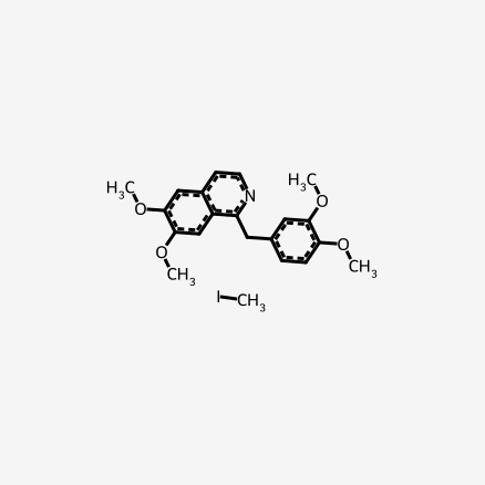 CI.COc1ccc(Cc2nccc3cc(OC)c(OC)cc23)cc1OC